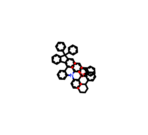 c1ccc(C2(c3ccccc3)c3ccccc3-c3c(-c4ccccc4N(c4ccccc4-c4cccc5cccc(C6CCCCC6)c45)c4cccc5c4oc4ccccc45)cccc32)cc1